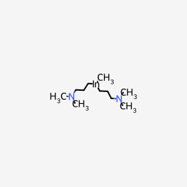 CN(C)CC[CH2][In]([CH3])[CH2]CCN(C)C